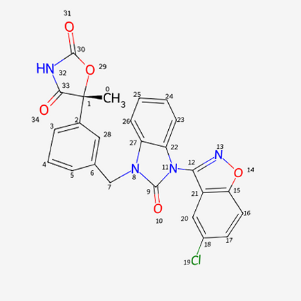 C[C@]1(c2cccc(Cn3c(=O)n(-c4noc5ccc(Cl)cc45)c4ccccc43)c2)OC(=O)NC1=O